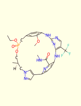 CCOP1(=O)Cc2ccc(c(OC)c2)Nc2ncc(C(F)(F)F)c(n2)Nc2ccc(nc2C(=O)NC)-c2cnn(c2)C[C@@H](C)CO1